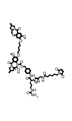 C=C1CC2C=Nc3cc(OCCCCCOc4cc5c(cc4OC)C(=O)N4CC(=C)C[C@@]4(C)[C@H](O)N5C(=O)OCc4ccc(NC(=O)[C@H](CCCNC(N)=O)n5cc(CNC(=O)CCCCCN6C(=O)C=CC6=O)nn5)cc4)c(OC)cc3C(=O)N2C1